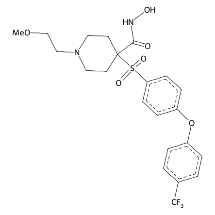 COCCN1CCC(C(=O)NO)(S(=O)(=O)c2ccc(Oc3ccc(C(F)(F)F)cc3)cc2)CC1